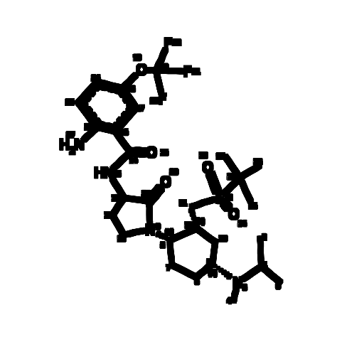 CC(C)N(C)[C@@H]1CC[C@H](N2CCC(NC(=O)c3cc(OC(F)(F)F)ccc3N)C2=O)[C@H](CS(=O)(=O)C(C)(C)C)C1